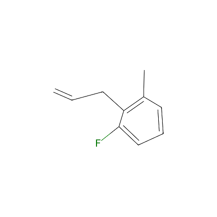 C=CCc1c(C)cccc1F